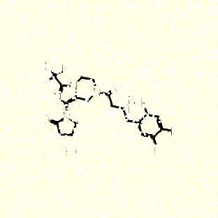 Cl.N[C@@H](CC(=O)N1CCn2c(C(F)(F)F)nc(N3CCCC3=O)c2C1)Cc1cc(F)c(F)cc1F